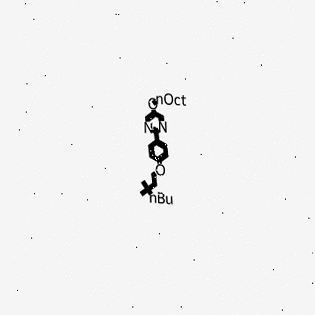 CCCCCCCCOc1cnc(-c2ccc(OCCC(C)(C)CCCC)cc2)nc1